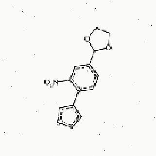 O=[N+]([O-])c1cc(C2OCCO2)ccc1-c1ccsc1